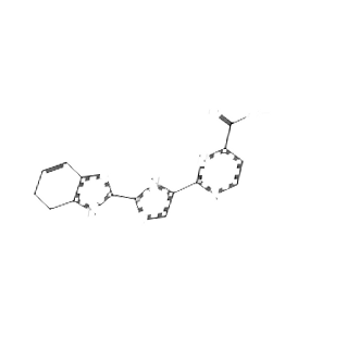 O=C(O)c1ccnc(-c2csc(-c3nc4c(s3)C=CCC4)n2)n1